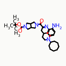 CC(C)(C)OC(=O)N1CC2CN(C(=O)/C(CC3CCN(C4CCCCCCC4)CC3)=N/c3ccccc3N)CC2C1